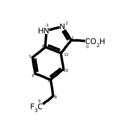 O=C(O)c1n[nH]c2ccc(CC(F)(F)F)cc12